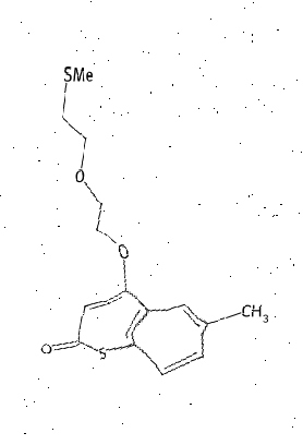 CSCCOCCOc1cc(=O)sc2ccc(C)cc12